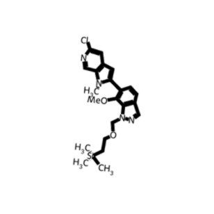 COc1c(-c2cc3cc(Cl)ncc3n2C)ccc2cnn(COCC[Si](C)(C)C)c12